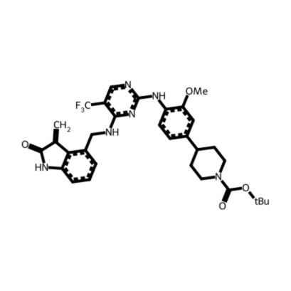 C=C1C(=O)Nc2cccc(CNc3nc(Nc4ccc(C5CCN(C(=O)OC(C)(C)C)CC5)cc4OC)ncc3C(F)(F)F)c21